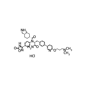 CN(C)CCCOc1ccc(-c2ccc(C[C@@H](C(N)=O)N(c3ccc(-c4noc(=O)[nH]4)cc3)C(=O)[C@H]3CC[C@H](CN)CC3)cc2)cn1.Cl